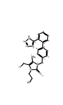 CCCCc1c(CF)n(CCC(C)C)c(=O)n1Cc1ccc(-c2ccccc2-c2nnn[nH]2)cc1